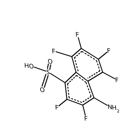 Nc1c(F)c(F)c(S(=O)(=O)O)c2c(F)c(F)c(F)c(F)c12